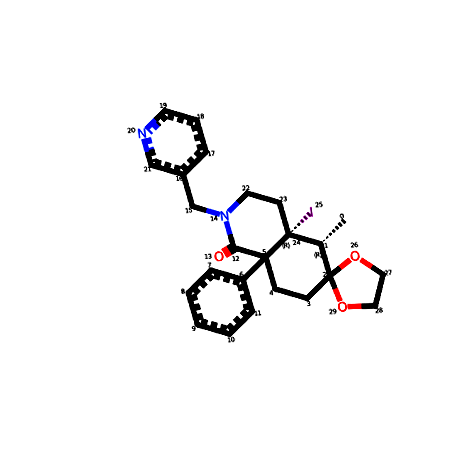 C[C@@H]1C2(CCC3(c4ccccc4)C(=O)N(Cc4cccnc4)CC[C@@]13I)OCCO2